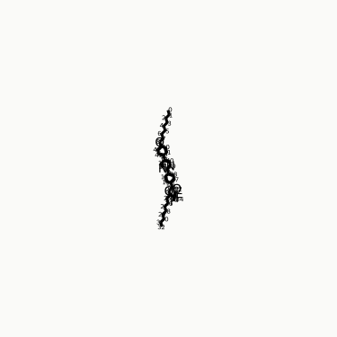 CCCCCCCCOc1ccc(-c2cnc(-c3ccc(C(=O)OC(CCCCCCCC)C(F)(F)F)cc3)nc2)cc1